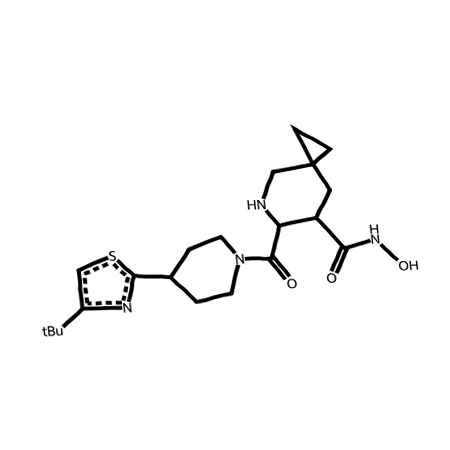 CC(C)(C)c1csc(C2CCN(C(=O)C3NCC4(CC4)CC3C(=O)NO)CC2)n1